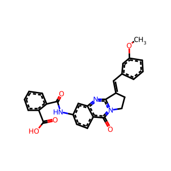 COc1cccc(C=C2CCn3c2nc2cc(NC(=O)c4ccccc4C(=O)O)ccc2c3=O)c1